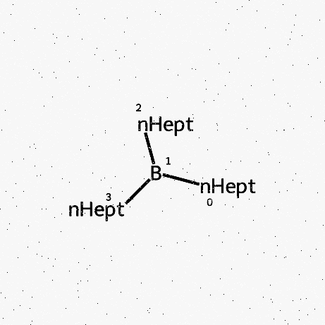 CCCCCCCB(CCCCCCC)CCCCCCC